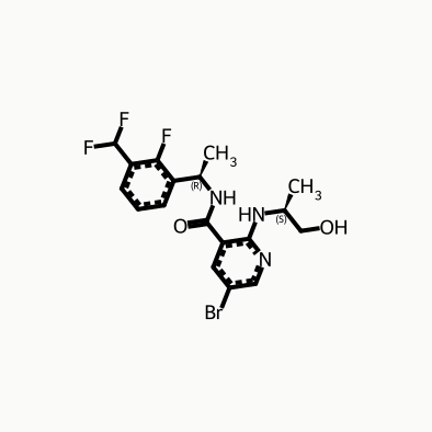 C[C@@H](CO)Nc1ncc(Br)cc1C(=O)N[C@H](C)c1cccc(C(F)F)c1F